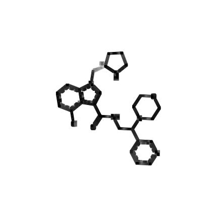 O=C(NCC(c1cccnc1)N1CCOCC1)c1cn(C[C@@H]2CCCN2)c2cccc(Cl)c12